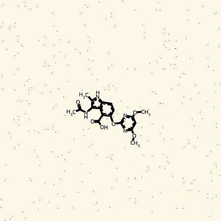 COc1cc(OC)nc(Oc2ccc3[nH]c(C)c(NC(C)=O)c3c2C(=O)O)n1